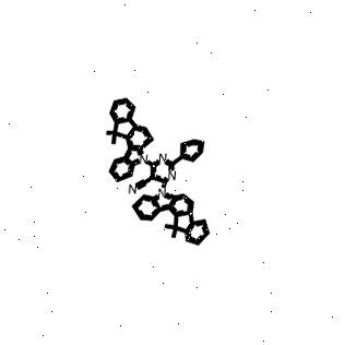 CC1(C)c2ccccc2-c2ccc3c(c21)c1ccccc1n3-c1nc(-c2ccccc2)nc(-n2c3ccccc3c3c4c(ccc32)-c2ccccc2C4(C)C)c1C#N